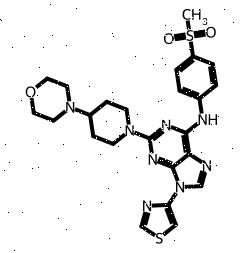 CS(=O)(=O)c1ccc(Nc2nc(N3CCC(N4CCOCC4)CC3)nc3c2ncn3-c2cscn2)cc1